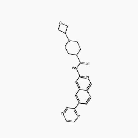 O=C(Nc1cc2cc(-c3cnccn3)ccc2cn1)C1CCN(C2COC2)CC1